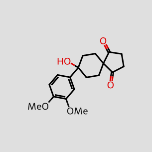 COc1ccc(C2(O)CCC3(CC2)C(=O)CCC3=O)cc1OC